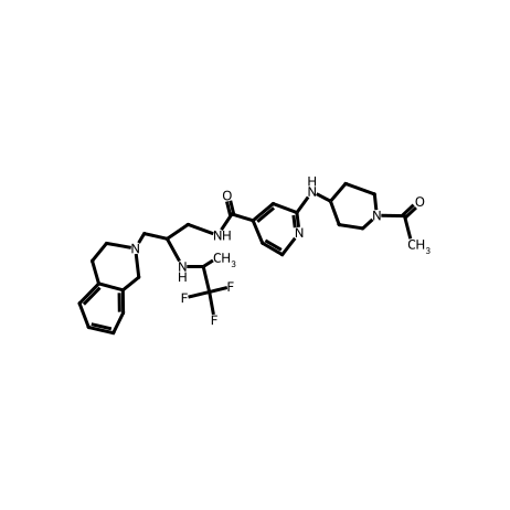 CC(=O)N1CCC(Nc2cc(C(=O)NCC(CN3CCc4ccccc4C3)NC(C)C(F)(F)F)ccn2)CC1